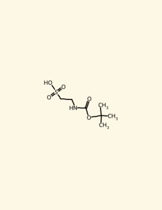 CC(C)(C)OC(=O)NCCS(=O)(=O)O